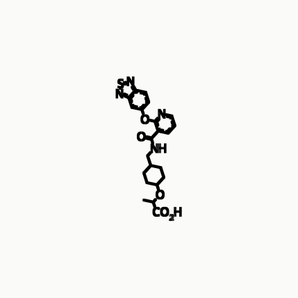 CC(OC1CCC(CNC(=O)c2cccnc2Oc2ccc3nsnc3c2)CC1)C(=O)O